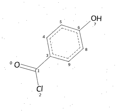 O=C(Cl)c1ccc(O)cc1